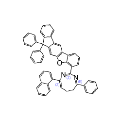 C1=C(c2cccc3ccccc23)/N=C(c2cccc3c2oc2cc4c(cc23)-c2ccccc2C4(c2ccccc2)c2ccccc2)\N=C(\c2ccccc2)CC\1